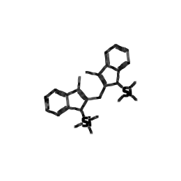 CC1=C(CC2=C(C)c3ccccc3C2[Si](C)(C)C)C([Si](C)(C)C)c2ccccc21